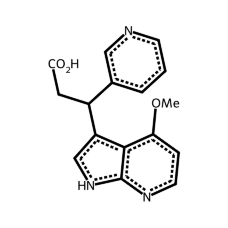 COc1ccnc2[nH]cc(C(CC(=O)O)c3cccnc3)c12